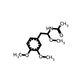 COc1ccc(CC(NC(C)=O)OC)cc1OC